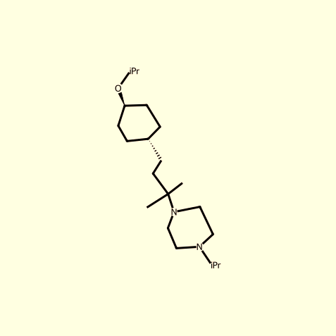 CC(C)O[C@H]1CC[C@H](CCC(C)(C)N2CCN(C(C)C)CC2)CC1